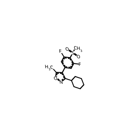 Cc1onc(C2CCCCC2)c1-c1cc(F)c(S(C)(=O)=O)c(F)c1